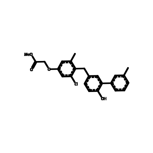 COC(=O)COc1cc(C)c(Cc2ccc(O)c(-c3cccc(C)c3)c2)c(Cl)c1